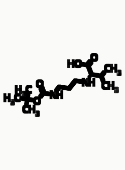 CC(C)[C@H](NCCCNC(=O)OC(C)(C)C)C(=O)O